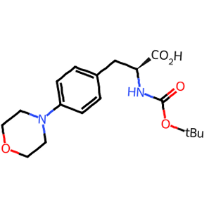 CC(C)(C)OC(=O)N[C@@H](Cc1ccc(N2CCOCC2)cc1)C(=O)O